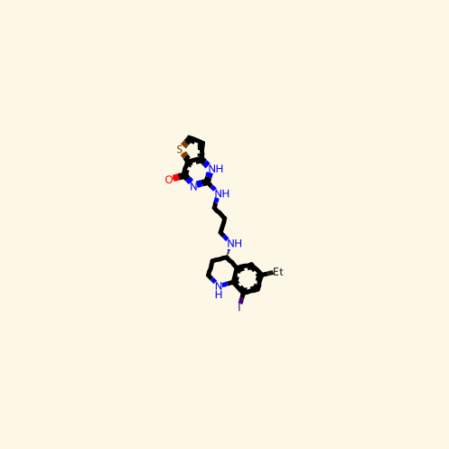 CCc1cc(I)c2c(c1)[C@@H](NCCCNc1nc(=O)c3sccc3[nH]1)CCN2